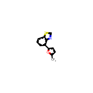 FC(F)(F)c1ccc(-c2cccc3scnc23)o1